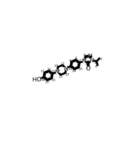 CC(C)n1ncn(-c2ccc(N3CCN(c4ccc(O)cc4)CC3)cc2)c1=O